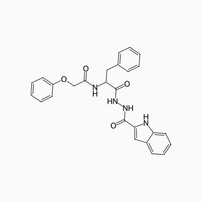 O=C(COc1ccccc1)NC(Cc1ccccc1)C(=O)NNC(=O)c1cc2ccccc2[nH]1